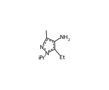 CCc1c(N)c(C)nn1C(C)C